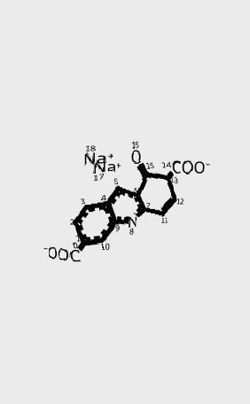 O=C([O-])c1ccc2cc3c(nc2c1)C=CC(C(=O)[O-])C3=O.[Na+].[Na+]